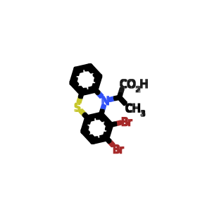 CC(C(=O)O)N1c2ccccc2Sc2ccc(Br)c(Br)c21